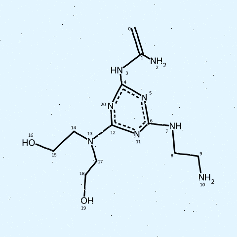 C=C(N)Nc1nc(NCCN)nc(N(CCO)CCO)n1